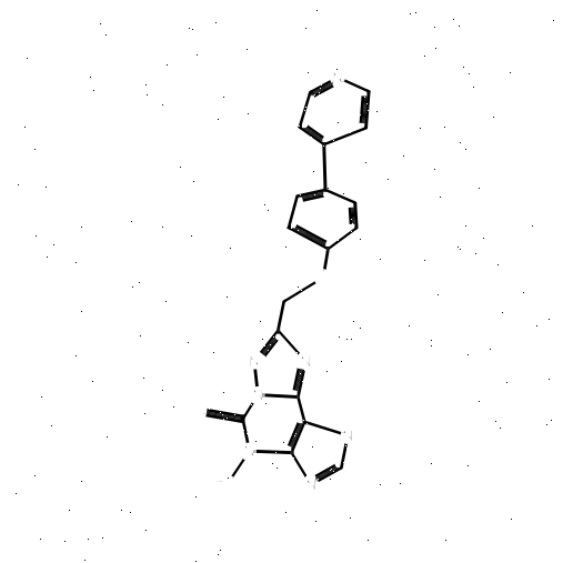 CCCCn1c(=O)n2nc(COc3ccc(-c4ccncc4)cc3)nc2c2[nH]cnc21